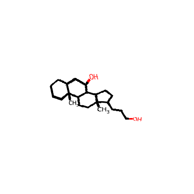 CC12CCC3C(C(O)CC4CCCCC43C)C1CCC2CCCO